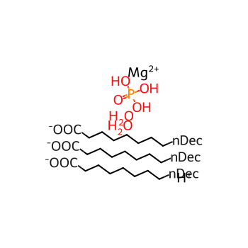 CCCCCCCCCCCCCCCCCC(=O)[O-].CCCCCCCCCCCCCCCCCC(=O)[O-].CCCCCCCCCCCCCCCCCC(=O)[O-].O.O.O=P(O)(O)O.[H+].[Mg+2]